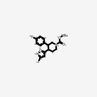 CC(C)(C)OC(=O)N1CCC(c2cc(I)no2)C(c2ccc(F)cc2)C1